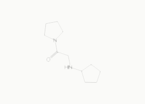 O=C(CNC1CCCC1)N1CCCC1